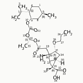 C=C(C)[C@@H]1CC[C@@H](C)CC1OC(=O)O[C@@H](C)OC(=O)C[C@@]1(N)C2[C@@H](C[C@H]1OCCC)[C@]2(F)C(=O)O